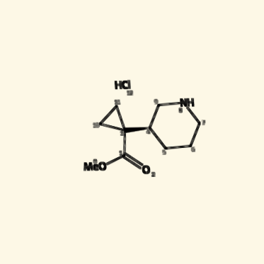 COC(=O)C1([C@@H]2CCCNC2)CC1.Cl